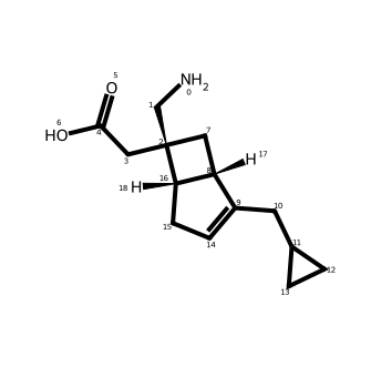 NC[C@@]1(CC(=O)O)C[C@@H]2C(CC3CC3)=CC[C@@H]21